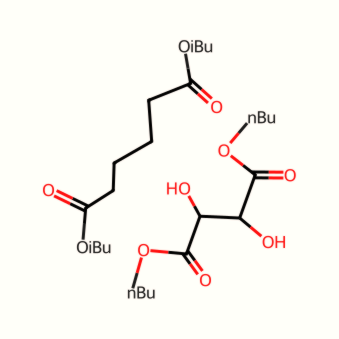 CC(C)COC(=O)CCCCC(=O)OCC(C)C.CCCCOC(=O)C(O)C(O)C(=O)OCCCC